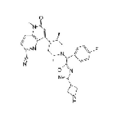 C[C@@H]1CN(c2cc(=O)n(C)c3ccc(C#N)nc23)[C@@H](C)CN1C(c1ccc(F)cc1)c1nc(C2CNC2)no1